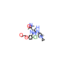 Cc1noc(C)c1-c1nc(-c2cc(OCC3CO3)ccc2Cl)nc(N[C@H]2CCN(C3CC3)[C@@H](C)C2)c1C